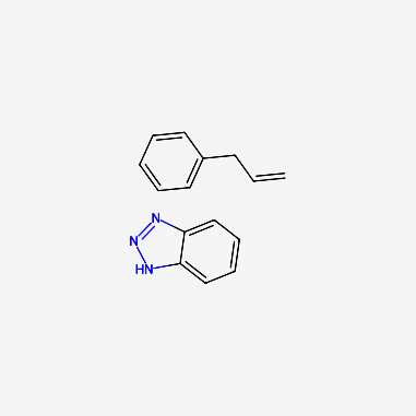 C=CCc1ccccc1.c1ccc2[nH]nnc2c1